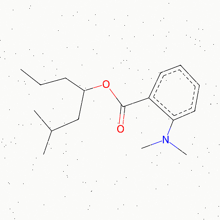 CCCC(CC(C)C)OC(=O)c1ccccc1N(C)C